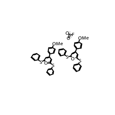 COc1ccc(-c2cc(Sc3ccccc3)[o+]c(Sc3ccccc3)c2)cc1.COc1ccc(-c2cc(Sc3ccccc3)[o+]c(Sc3ccccc3)c2)cc1.[O-]B([O-])F